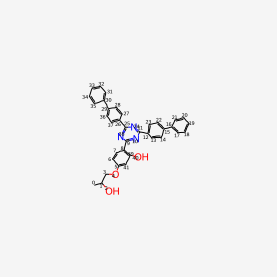 CC(O)COc1ccc(-c2nc(-c3ccc(-c4ccccc4)cc3)nc(-c3ccc(-c4ccccc4)cc3)n2)c(O)c1